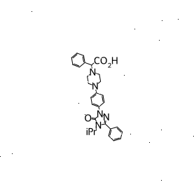 CC(C)n1c(-c2ccccc2)nn(-c2ccc(N3CCN(C(C(=O)O)c4ccccc4)CC3)cc2)c1=O